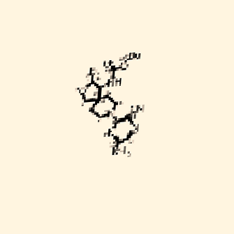 CC[C@@H]1OCC2(CCN(c3nc(N)cnc3C#N)CC2)[C@@H]1NC(=O)OC(C)(C)C